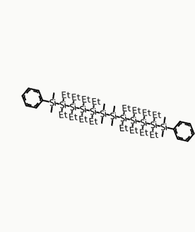 CC[Si](CC)([Si](C)(C)c1ccccc1)[Si](CC)(CC)[Si](CC)(CC)[Si](CC)(CC)[Si](C)(C)[Si](C)(C)[Si](CC)(CC)[Si](CC)(CC)[Si](CC)(CC)[Si](CC)(CC)[Si](C)(C)c1ccccc1